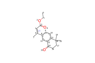 CCOC(=O)/C=C(/C)c1ccc2c(c1)C(=O)CCC2(C)C